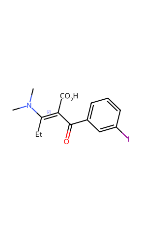 CC/C(=C(/C(=O)O)C(=O)c1cccc(I)c1)N(C)C